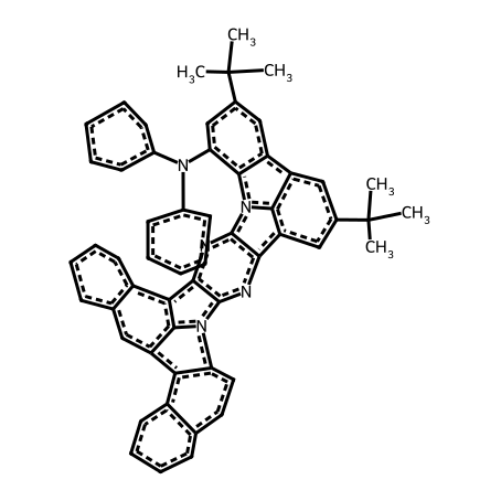 CC(C)(C)c1cc(N(c2ccccc2)c2ccccc2)c2c(c1)c1cc(C(C)(C)C)cc3c4nc5c(nc4n2c13)c1c2ccccc2cc2c3c4ccccc4ccc3n5c21